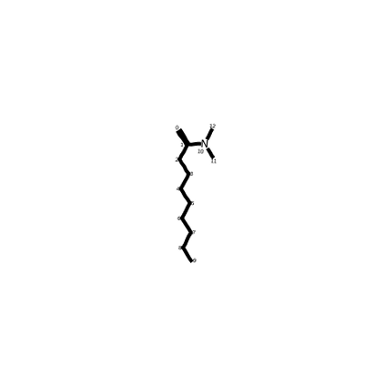 C=C(CCCCCCCC)N(C)C